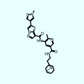 Cc1ncc(C(=O)NCCN2CC3CCC2CC3)cc1NC(=O)c1cnn2cc(-c3cnn(C)c3)sc12